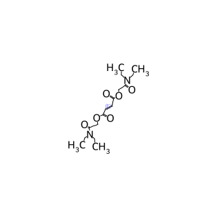 CCN(CC)C(=O)COC(=O)/C=C/C(=O)OCC(=O)N(CC)CC